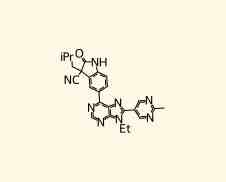 CCn1c(-c2cnc(C)nc2)nc2c(-c3ccc4c(c3)C(C#N)(CC(C)C)C(=O)N4)ncnc21